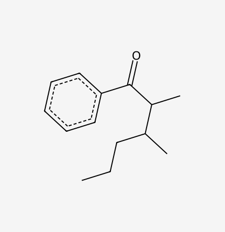 CCCC(C)C(C)C(=O)c1ccccc1